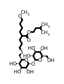 COCCCCC(CCCSC[C@H]1O[C@H](O[C@H]2O[C@H](CO)[C@@H](O)[C@H](O)[C@H]2O)[C@H](O)[C@@H](O)[C@@H]1O)C(=O)OCCC(C)C